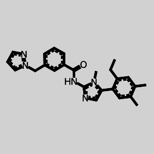 CCc1cc(C)c(C)cc1-c1cnc(NC(=O)c2cccc(Cn3cccn3)c2)n1C